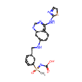 CS(=O)(=NC(=O)O)c1cccc(CNc2ccc3c(Nc4nccs4)ncnc3c2)c1